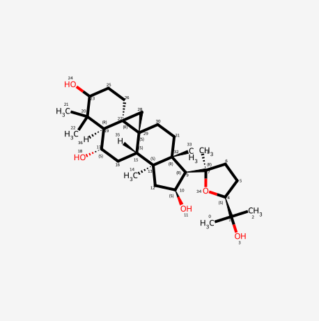 CC(C)(O)[C@@H]1CC[C@](C)([C@H]2[C@@H](O)C[C@@]3(C)[C@@H]4C[C@H](O)[C@H]5C(C)(C)C(O)CC[C@@]56C[C@@]46CC[C@]23C)O1